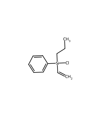 C=C[Si](Cl)(CCC)c1ccccc1